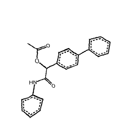 CC(=O)OC(C(=O)Nc1ccccc1)c1ccc(-c2ccccc2)cc1